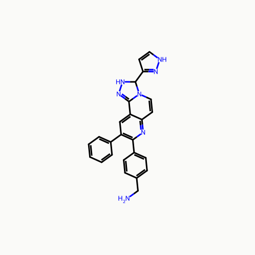 NCc1ccc(-c2nc3c(cc2-c2ccccc2)C2=NNC(c4cc[nH]n4)N2C=C3)cc1